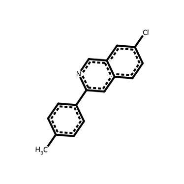 Cc1ccc(-c2cc3ccc(Cl)cc3cn2)cc1